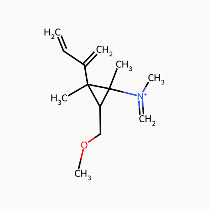 C=CC(=C)C1(C)C(COC)C1(C)[N+](=C)C